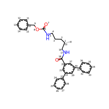 C[C@@H](CCCNC(=O)OCc1ccccc1)CNC(=O)c1cc(-c2ccccc2)cc(-c2ccccc2)c1